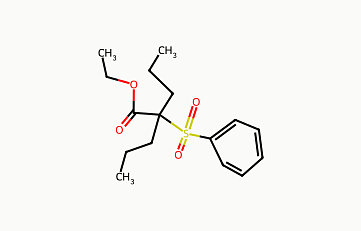 CCCC(CCC)(C(=O)OCC)S(=O)(=O)c1ccccc1